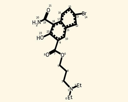 CCN(CC)CCCOC(=O)c1cc2cc(Br)ccc2c(C(N)=O)c1O